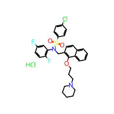 Cl.O=S(=O)(c1ccc(Cl)cc1)N(Cc1ccc2ccccc2c1OCCCN1CCCCC1)c1cc(F)ccc1F